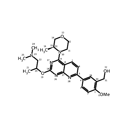 COc1ccc(-c2ccc3c(N4CCOC[C@@H]4C)nc(OC(C)CN(C)C)nc3n2)cc1CO